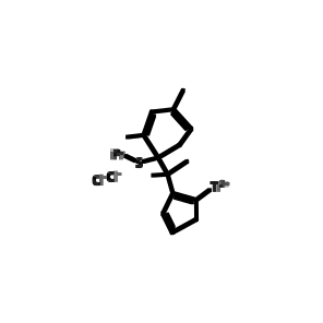 CC1=CCC(SC(C)C)(C(C)(C)C2=[C]([Ti+2])CC=C2)C(C)=C1.[Cl-].[Cl-]